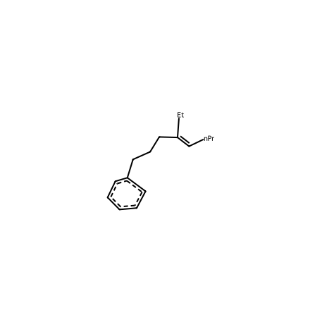 CCCC=C(CC)CCCc1ccccc1